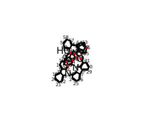 O=C1c2c(cccc2-n2c3c(-n4c5ccccc5c5ccccc54)cccc3c3cccc(-n4c5ccccc5c5ccccc54)c32)C(O)N1c1ccccc1-c1ccccc1